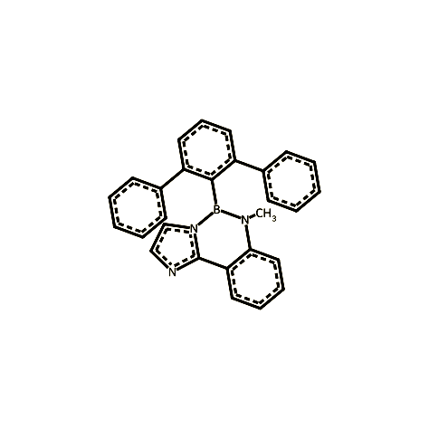 CN1B(c2c(-c3ccccc3)cccc2-c2ccccc2)n2ccnc2-c2ccccc21